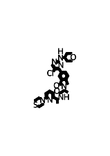 CC(NC(=O)C(C)N1Cc2ccc(-c3nc(NC4CCOCC4)ncc3Cl)cc2C1=O)c1cccc(N2CCSCC2)n1